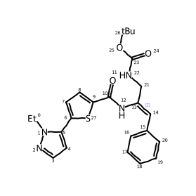 CCn1nccc1-c1ccc(C(=O)N/C(=C\c2ccccc2)CNC(=O)OC(C)(C)C)s1